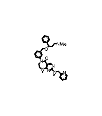 CNCCC(OCc1cccc(N2CCN(C)c3nc(N(C)Cc4ccccn4)ncc3C2=O)c1)c1ccccc1